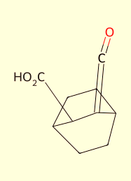 O=C=C1C2CCC(CC2)C1C(=O)O